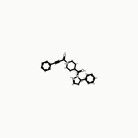 O=C(C#Cc1ccccc1)N1CCC(C(=O)N2N=CCC2c2ccccc2)CC1